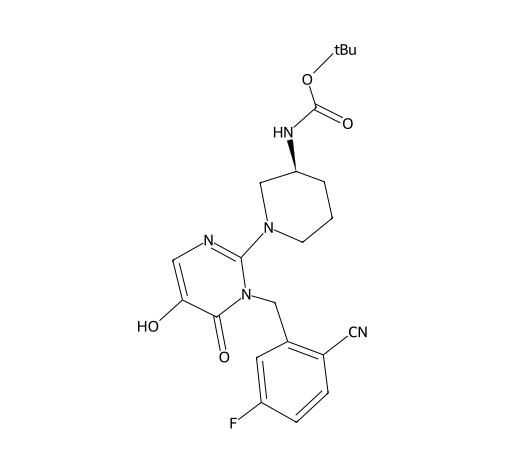 CC(C)(C)OC(=O)N[C@H]1CCCN(c2ncc(O)c(=O)n2Cc2cc(F)ccc2C#N)C1